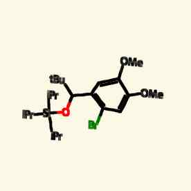 COc1cc(Br)c(C(O[Si](C(C)C)(C(C)C)C(C)C)C(C)(C)C)cc1OC